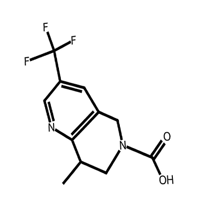 CC1CN(C(=O)O)Cc2cc(C(F)(F)F)cnc21